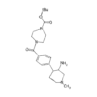 CN1CCC(c2ccc(C(=O)N3CCN(C(=O)OC(C)(C)C)CC3)cc2)C(N)C1